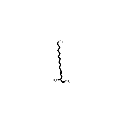 C=CC(C)CC=CCCCCCCCCCC